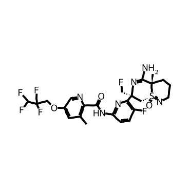 Cc1cc(OCC(F)(F)C(F)F)cnc1C(=O)Nc1ccc(F)c([C@]2(CF)C[S@@]3(=O)=NCCC[C@@]3(C)C(N)=N2)n1